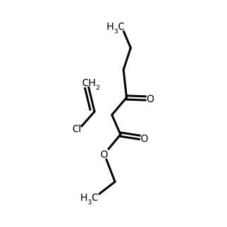 C=CCl.CCCC(=O)CC(=O)OCC